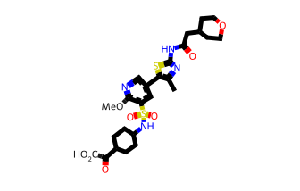 COc1ncc(-c2sc(NC(=O)CC3CCOCC3)nc2C)cc1S(=O)(=O)NC1CCC(C(=O)C(=O)O)CC1